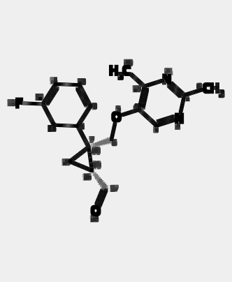 Cc1ncc(OC[C@@]2(C3C=CC=C(F)C3)C[C@H]2C=O)c(C)n1